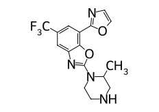 CC1CNCCN1c1nc2cc(C(F)(F)F)cc(-c3ncco3)c2o1